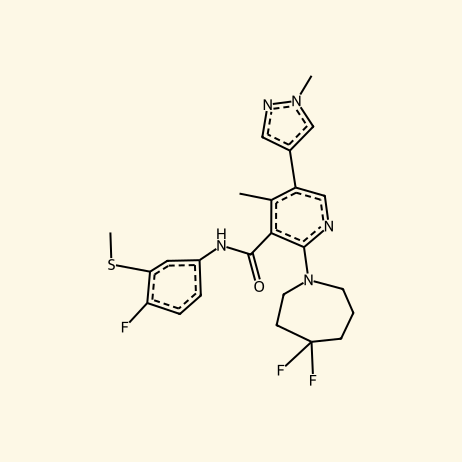 CSc1cc(NC(=O)c2c(N3CCCC(F)(F)CC3)ncc(-c3cnn(C)c3)c2C)ccc1F